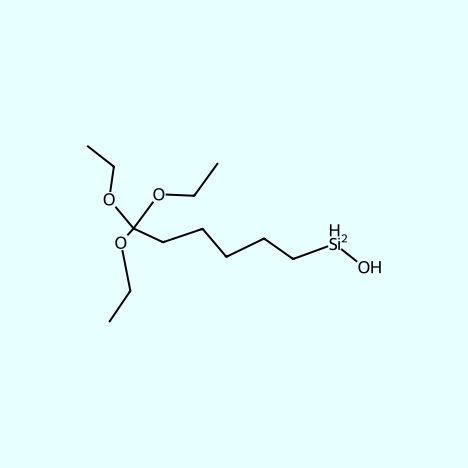 CCOC(CCCCC[SiH2]O)(OCC)OCC